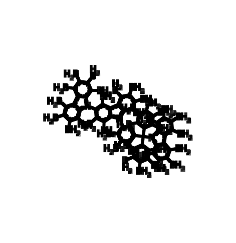 Bc1c(-n2c3c(B)c(B)c(B)c(B)c3c3c(B)c(-n4c5c(B)c(B)c(B)c(B)c5c5c(B)c(B)c(B)c(B)c54)c(B)c(B)c32)nc(C(c2c(B)c(B)c(B)c(B)c2B)(c2c(B)c(B)c(B)c(B)c2B)n2c3c(B)c(B)c(B)c(B)c3c3c(B)c(B)c(B)c(B)c32)c(B)c1B